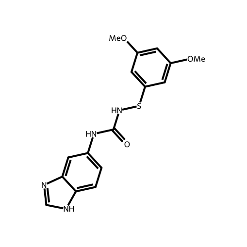 COc1cc(OC)cc(SNC(=O)Nc2ccc3[nH]cnc3c2)c1